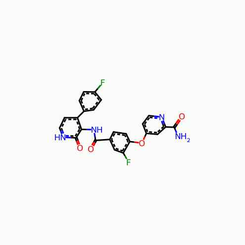 NC(=O)c1cc(Oc2ccc(C(=O)Nc3c(-c4ccc(F)cc4)cc[nH]c3=O)cc2F)ccn1